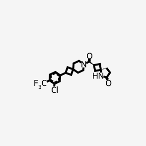 O=C1CC[C@]2(C[C@H](C(=O)N3CCC4(CC3)CC(c3ccc(C(F)(F)F)c(Cl)c3)C4)C2)N1